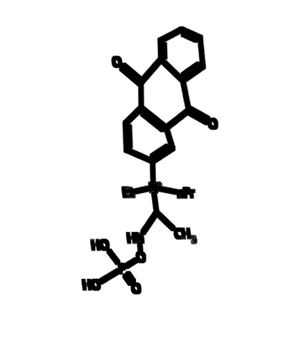 CCC[N+](CC)(c1ccc2c(c1)C(=O)c1ccccc1C2=O)C(C)NOP(=O)(O)O